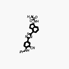 CC(C)Nc1ccc(-c2nsc(-c3cccc4c3CC[C@@H]4NS(N)(=O)=O)n2)cc1C#N